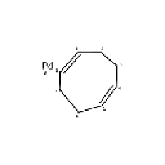 C1=CCCC=CCC1.[Pd]